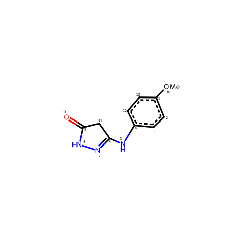 COc1ccc(NC2=NNC(=O)C2)cc1